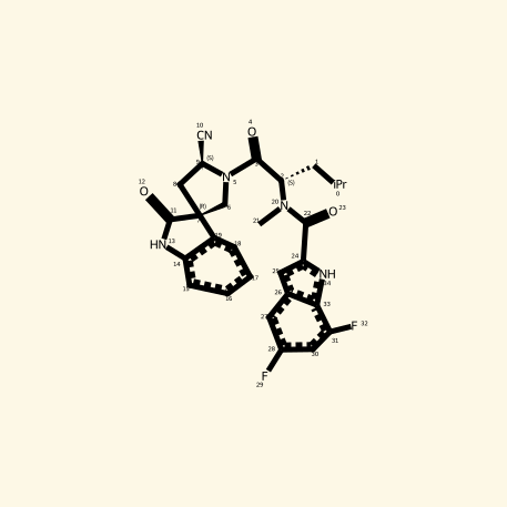 CC(C)C[C@@H](C(=O)N1C[C@]2(C[C@H]1C#N)C(=O)Nc1ccccc12)N(C)C(=O)c1cc2cc(F)cc(F)c2[nH]1